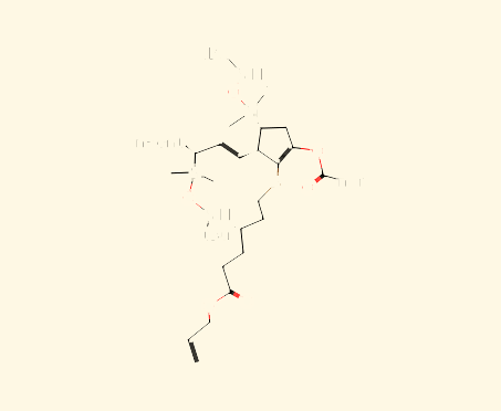 C=CCOC(=O)CCCCCSC1=C(OC(=O)CCC)C[C@@H]([Si](C)(C)O[SiH2]C(C)(C)C)[C@@H]1/C=C/[C@H](CCCCC)[Si](C)(C)O[SiH2]C(C)(C)C